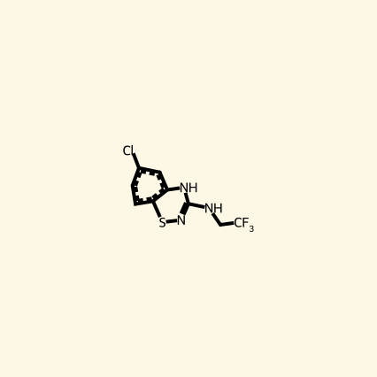 FC(F)(F)CNC1=NSc2ccc(Cl)cc2N1